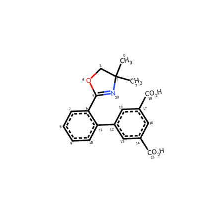 CC1(C)COC(c2ccccc2-c2cc(C(=O)O)cc(C(=O)O)c2)=N1